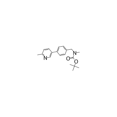 Cc1ccc(-c2ccc(CN(C)C(=O)OC(C)(C)C)cc2)cn1